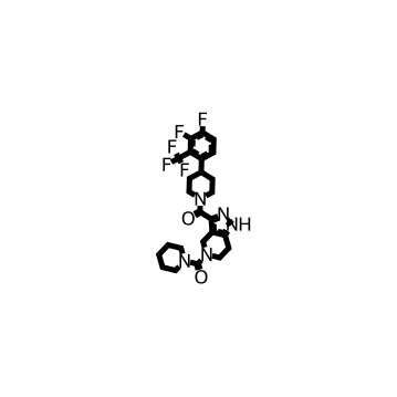 O=C(c1n[nH]c2c1CN(C(=O)N1CCCCC1)CC2)N1CCC(c2ccc(F)c(F)c2C(F)(F)F)CC1